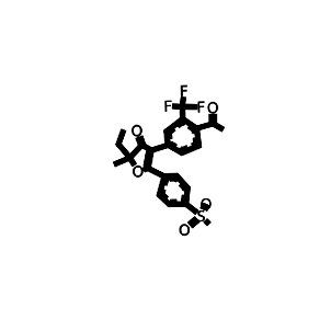 CCC1(C)OC(c2ccc(S(C)(=O)=O)cc2)=C(c2ccc(C(C)=O)c(C(F)(F)F)c2)C1=O